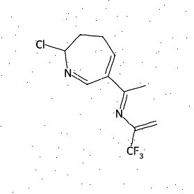 C=C(/N=C(\C)C1=CCCC(Cl)N=C1)C(F)(F)F